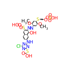 COc1cc(SC#COOS(=O)(=O)O)c(OC)cc1N=Nc1c(SOOO)cc2ccc(Nc3nc(Cl)nc(SC(=O)O)n3)cc2c1O